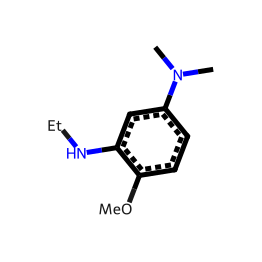 CCNc1cc(N(C)C)ccc1OC